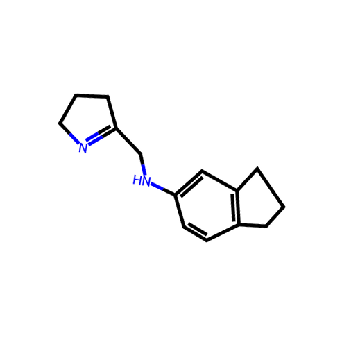 c1cc2c(cc1NCC1=NCCC1)CCC2